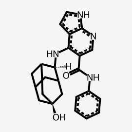 O=C(Nc1ccccc1)c1cnc2[nH]ccc2c1N[C@H]1C2CC3CC1C[C@@](O)(C3)C2